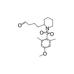 COc1cc(C)c(S(=O)(=O)N2CCCCC2CCCC=O)c(C)c1